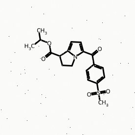 CC(C)OC(=O)C1CCn2c(C(=O)c3ccc(S(C)(=O)=O)cc3)ccc21